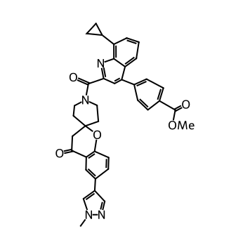 COC(=O)c1ccc(-c2cc(C(=O)N3CCC4(CC3)CC(=O)c3cc(-c5cnn(C)c5)ccc3O4)nc3c(C4CC4)cccc23)cc1